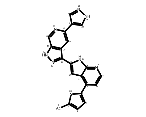 CC(=O)c1ccc(-c2ccnc3[nH]c(-c4n[nH]c5cnc(-c6cn[nH]c6)cc45)cc23)s1